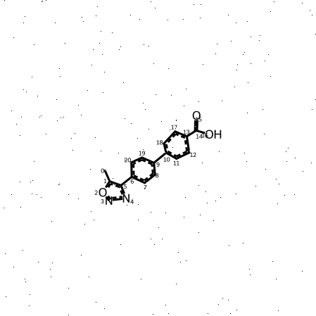 Cc1onnc1-c1ccc(-c2ccc(C(=O)O)cc2)cc1